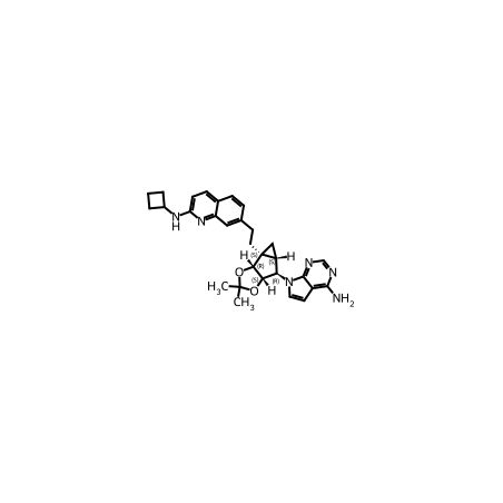 CC1(C)O[C@H]2[C@H](n3ccc4c(N)ncnc43)[C@H]3C[C@]3(CCc3ccc4ccc(NC5CCC5)nc4c3)[C@H]2O1